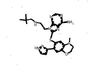 CN1CCOc2cc(-c3cc[nH]n3)c(Sc3nc4c(N)ncnc4n3CCNCC(C)(C)C)cc21